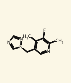 Cc1ncc(Cn2cncn2)c(C)c1F